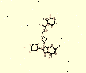 O=C(NC[C@H]1C[C@H](c2c(-c3ccc(F)cc3)[nH]c3c(F)cc(F)cc32)C1)c1ccn[nH]c1=O